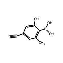 Cc1cc(C#N)cc(O)c1B(O)O